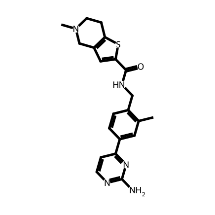 Cc1cc(-c2ccnc(N)n2)ccc1CNC(=O)c1cc2c(s1)CCN(C)C2